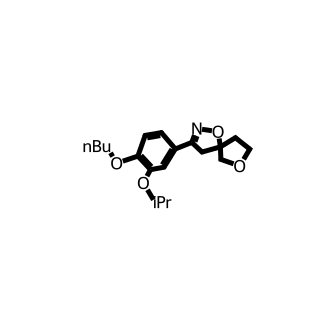 CCCCOc1ccc(C2=NOC3(CCOC3)C2)cc1OC(C)C